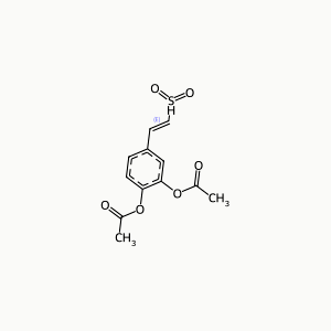 CC(=O)Oc1ccc(/C=C/[SH](=O)=O)cc1OC(C)=O